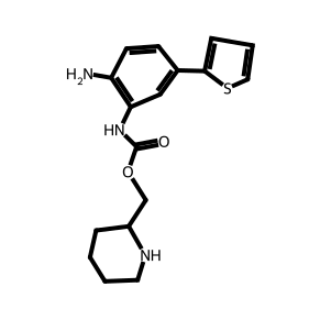 Nc1ccc(-c2cccs2)cc1NC(=O)OCC1CCCCN1